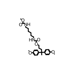 COC(=O)NCCCCCCNC(=O)OCCCC(C)(c1ccc(OC)cc1)c1ccc(OC)cc1